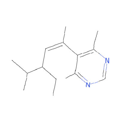 CCC(/C=C(/C)c1c(C)ncnc1C)C(C)C